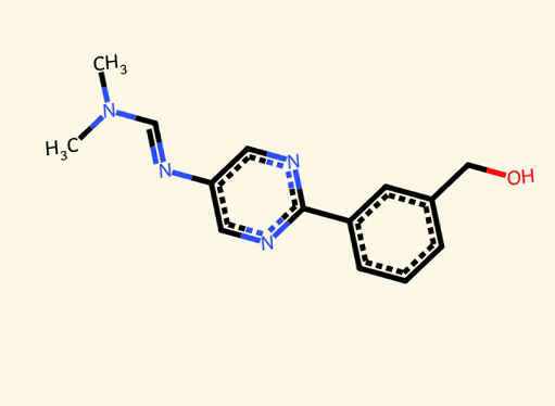 CN(C)C=Nc1cnc(-c2cccc(CO)c2)nc1